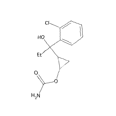 CCC(O)(c1ccccc1Cl)C1CC1OC(N)=O